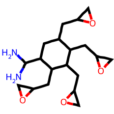 NC(N)C1CC(CC2CO2)C(CC2CO2)C(CC2CO2)C1CC1CO1